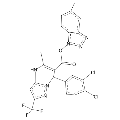 CC1=C(C(=O)On2nnc3cc(C)ccc32)C(c2ccc(Cl)c(Cl)c2)n2nc(C(F)(F)F)cc2N1